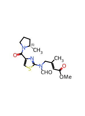 COC(=O)C=C(C)CN(C=O)c1nc(C(=O)N2CCC[C@@H]2C)cs1